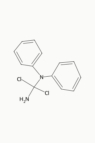 NC(Cl)(Cl)N(c1ccccc1)c1ccccc1